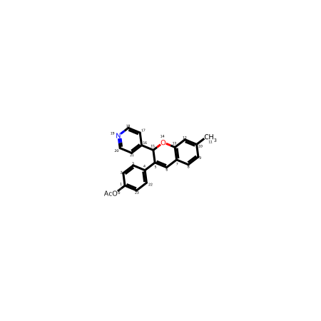 CC(=O)Oc1ccc(C2=Cc3ccc(C)cc3OC2c2ccncc2)cc1